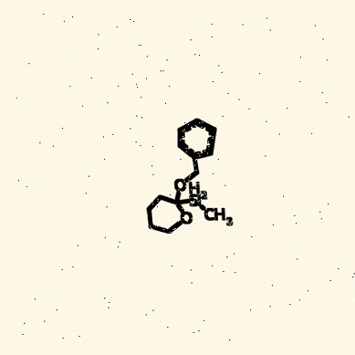 C[SiH2]C1(OCc2ccccc2)CCCCO1